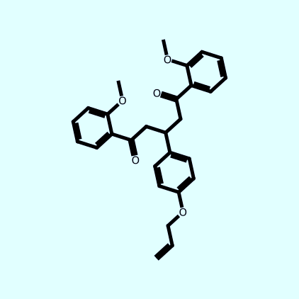 C=CCOc1ccc(C(CC(=O)c2ccccc2OC)CC(=O)c2ccccc2OC)cc1